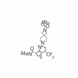 CNC(=O)c1csc2c(C(F)(F)F)cc(N3CCC4(CC3)CN(C(=O)OC(C)(C)C)C4)nc12